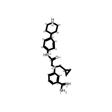 N=C(N)c1cccc(N(CC(=O)Nc2ccc(C3CCNCC3)cc2)CC2CC2)c1